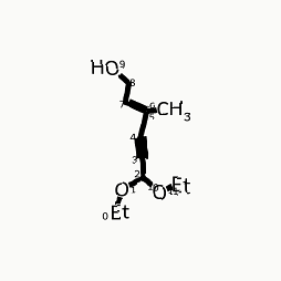 CCOC(C#CC(C)=CCO)OCC